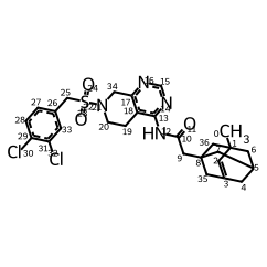 CC12C=C3CC(C1)CC(CC(=O)Nc1ncnc4c1CCN(S(=O)(=O)Cc1ccc(Cl)c(Cl)c1)C4)(C3)C2